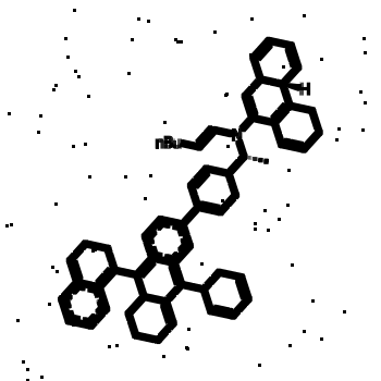 CCCC/C=C/N(C1=CC2C=CC=C[C@@H]2C2=C1C=CCC2)[C@H](C)C1C=CC(c2ccc3c(c2)=C(C2C=CC=CC2)C2=CCCCC2C=3C2=c3ccccc3=CCC2)=CC1